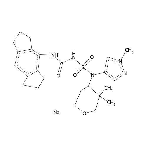 Cn1cc(N(C2CCOCC2(C)C)S(=O)(=O)NC(=O)Nc2c3c(cc4c2CCC4)CCC3)cn1.[Na]